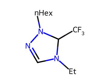 CCCCCCN1N=CN(CC)C1C(F)(F)F